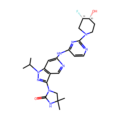 CC(C)n1nc(N2CC(C)(C)NC2=O)c2cnc(Nc3ccnc(N4CC[C@@H](O)[C@@H](F)C4)n3)cc21